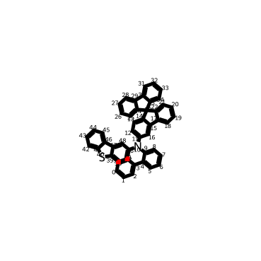 c1ccc(-c2ccccc2N(c2ccc3c(c2)-c2ccccc2C32c3ccccc3-c3ccccc32)c2ccc3sc4ccccc4c3c2)cc1